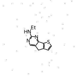 CCNc1ncc2c(n1)-c1sccc1C2